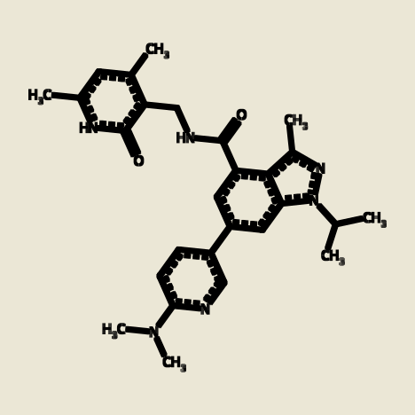 Cc1cc(C)c(CNC(=O)c2cc(-c3ccc(N(C)C)nc3)cc3c2c(C)nn3C(C)C)c(=O)[nH]1